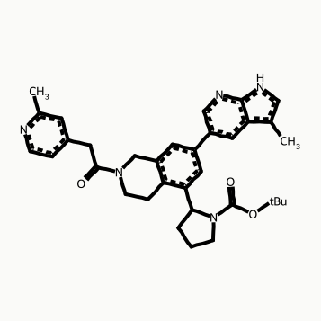 Cc1cc(CC(=O)N2CCc3c(cc(-c4cnc5[nH]cc(C)c5c4)cc3C3CCCN3C(=O)OC(C)(C)C)C2)ccn1